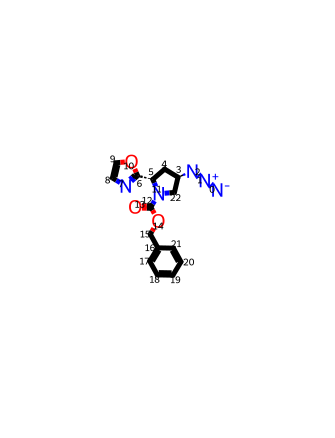 [N-]=[N+]=N[C@H]1C[C@@H](c2ncco2)N(C(=O)OCc2ccccc2)C1